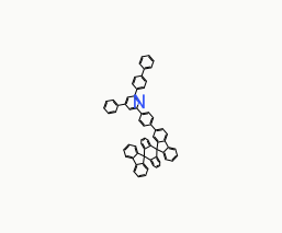 c1ccc(-c2ccc(-c3cc(-c4ccccc4)cc(-c4ccc(-c5ccc6c(c5)C5(c7ccccc7-6)c6ccccc6C6(c7ccccc7-c7ccccc76)c6ccccc65)cc4)n3)cc2)cc1